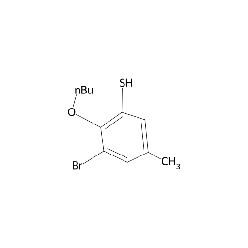 CCCCOc1c(S)cc(C)cc1Br